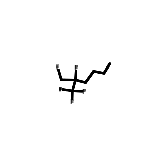 CCCCC(F)(CF)C(F)(F)F